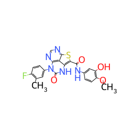 COc1ccc(NC(=O)c2sc3ncnc4c3c2NC(=O)N4c2ccc(F)c(C)c2)cc1O